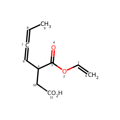 C=COC(=O)C(C=C=CC)CC(=O)O